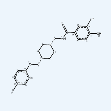 O=C(NC[C@H]1CC[C@@H](COc2ccc(F)cn2)CC1)c1ccc(O)c(F)c1